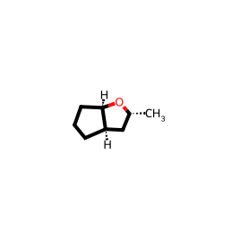 C[C@@H]1C[C@H]2CCC[C@H]2O1